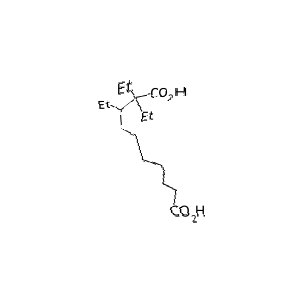 CCC(CCCCCCC(=O)O)C(CC)(CC)C(=O)O